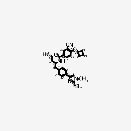 Cn1cc(-c2ccc(CC(CCO)NC(=O)c3ccc(OC4CCC4)c(C#N)c3)cc2)nc1C(C)(C)C